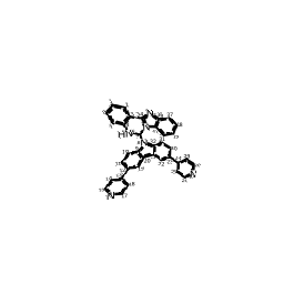 c1ccc2c(c1)NC(n1c3ccc(-c4ccncc4)cc3c3cc(-c4ccncc4)ccc31)n1c-2nc2ccccc21